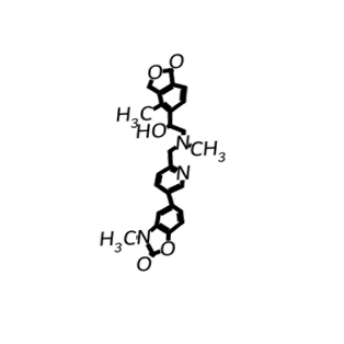 Cc1c(C(O)CN(C)Cc2ccc(-c3ccc4oc(=O)n(C)c4c3)cn2)ccc2c1COC2=O